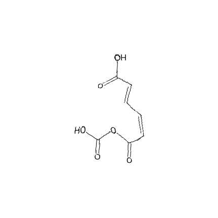 O=C(O)/C=C/C=C\C(=O)OC(=O)O